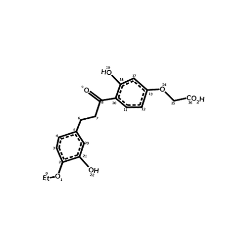 CCOc1ccc(CCC(=O)c2ccc(OCC(=O)O)cc2O)cc1O